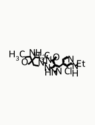 CCNc1nccc(-c2n[nH]c3nc(N4CCC5(CC4)CO[C@@H](C)[C@H]5N)n(C)c(=O)c23)c1Cl